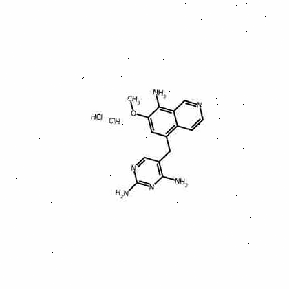 COc1cc(Cc2cnc(N)nc2N)c2ccncc2c1N.Cl.Cl